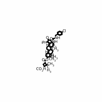 CC(C)C1=C2[C@H]3CC[C@@H]4[C@@]5(C)CC[C@H](OC(=O)[C@H]6C[C@@H](C(=O)O)C6(C)C)C(C)(C)[C@@H]5CC[C@@]4(C)[C@]3(C)CC[C@@]2(NC(=O)NCc2ccc(Cl)cc2)CC1=O